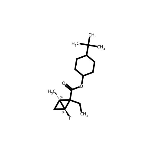 CCC1(C(=O)OC2CCC(C(C)(C)C)CC2)[C@]2(C)C[C@@]12F